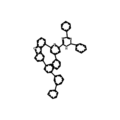 c1ccc(C2=NC(c3ccccc3)NC(c3cc(-c4ccccc4)cc(-c4cccc5oc6ccc(-c7ccc(-c8cccc(-c9ccccc9)c8)cc7)cc6c45)n3)=N2)cc1